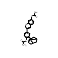 CC(=O)Oc1ccc(C2=Cc3ccc(OC(=O)O)cc3OC2)cc1C12CC3CC(CC(C3)C1)C2